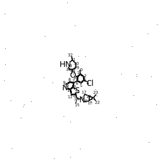 Cc1cc(Cl)cc(-c2ccnc3cc([C@H](C)N4CC5C(C4)C5(C)C)sc23)c1OC1CCC(C)NC1